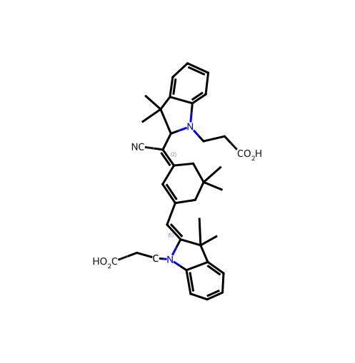 CC1(C)CC(/C=C2/N(CCC(=O)O)c3ccccc3C2(C)C)=CC(=C(\C#N)C2N(CCC(=O)O)c3ccccc3C2(C)C)/C1